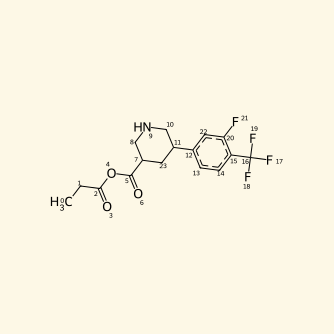 CCC(=O)OC(=O)C1CNCC(c2ccc(C(F)(F)F)c(F)c2)C1